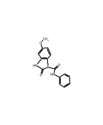 COc1ccc2c(c1)[nH]c(=O)n2C(=O)Nc1ccccc1